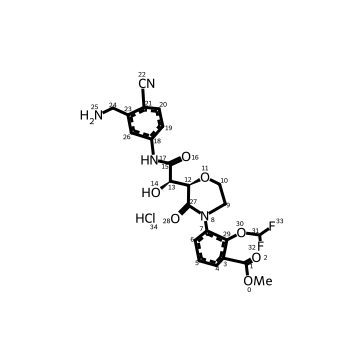 COC(=O)c1cccc(N2CCO[C@H]([C@@H](O)C(=O)Nc3ccc(C#N)c(CN)c3)C2=O)c1OC(F)F.Cl